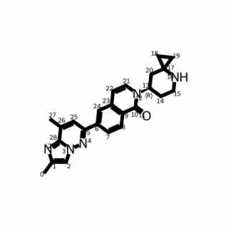 Cc1cn2nc(-c3ccc4c(=O)n([C@@H]5CCNC6(CC6)C5)ccc4c3)cc(C)c2n1